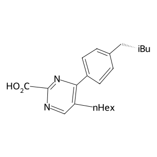 CCCCCCc1cnc(C(=O)O)nc1-c1ccc(C[C@@H](C)CC)cc1